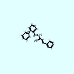 N=C(/C=C/c1ccccc1)NCc1ccccc1-c1ccccc1